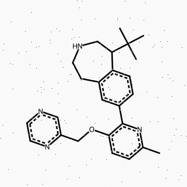 Cc1ccc(OCc2cnccn2)c(-c2ccc3c(c2)CCNCC3C(C)(C)C)n1